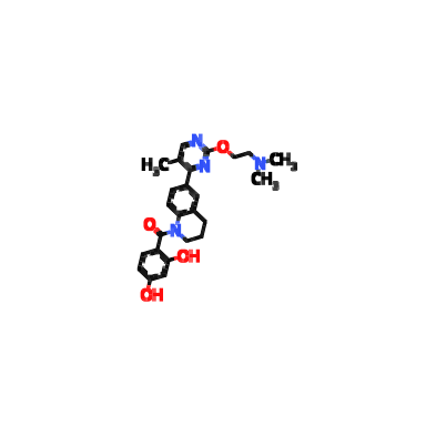 Cc1cnc(OCCN(C)C)nc1-c1ccc2c(c1)CCCN2C(=O)c1ccc(O)cc1O